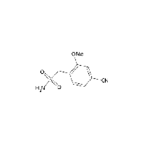 COc1cc(C#N)ccc1CS(N)(=O)=O